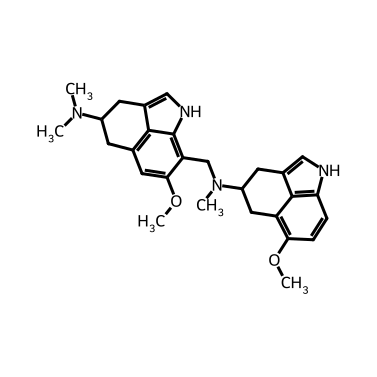 COc1cc2c3c(c[nH]c3c1CN(C)C1Cc3c[nH]c4ccc(OC)c(c34)C1)CC(N(C)C)C2